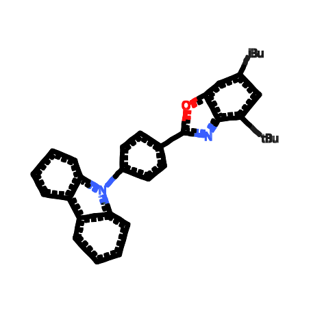 CCC(C)c1cc(C(C)(C)C)c2nc(-c3ccc(-n4c5ccccc5c5ccccc54)cc3)oc2c1